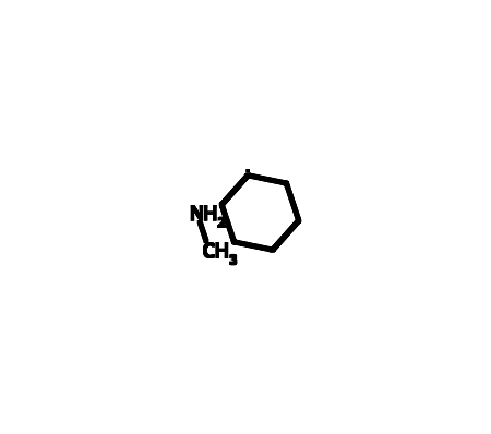 CN.[CH]1CCCCC1